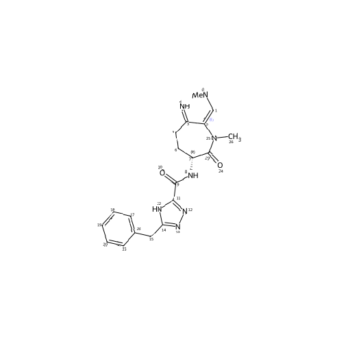 CN/C=C1\C(=N)CC[C@@H](NC(=O)c2nnc(Cc3ccccc3)[nH]2)C(=O)N1C